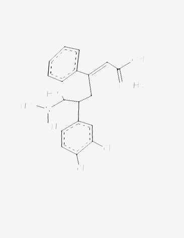 CC(C(C/C(=C\C(=O)O)c1ccccc1)c1ccc(Cl)c(Cl)c1)N(C)C.Cl